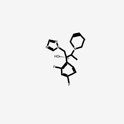 CC(N1CC#CCC1)[C@](O)(Cn1cncn1)c1ccc(F)cc1F